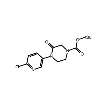 CC(C)(C)OC(=O)N1CCN(c2ccc(Cl)nc2)C(=O)C1